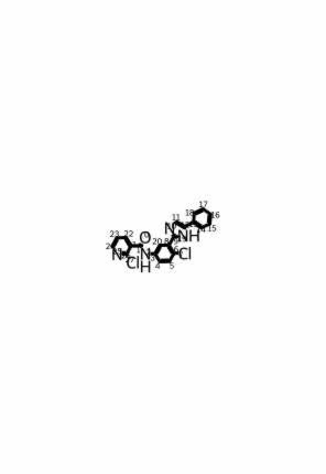 O=C(Nc1ccc(Cl)c(-c2ncc(-c3ccccc3)[nH]2)c1)c1cccnc1Cl